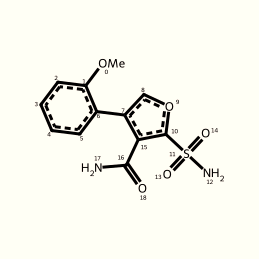 COc1ccccc1-c1coc(S(N)(=O)=O)c1C(N)=O